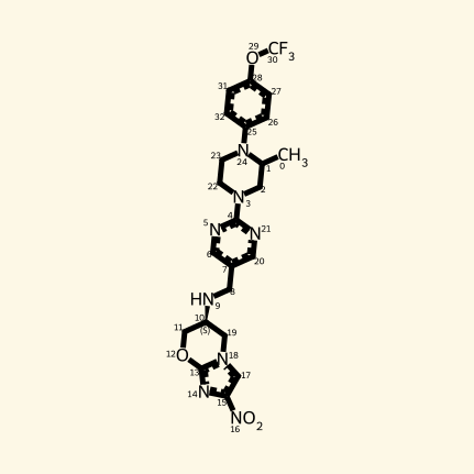 CC1CN(c2ncc(CN[C@@H]3COc4nc([N+](=O)[O-])cn4C3)cn2)CCN1c1ccc(OC(F)(F)F)cc1